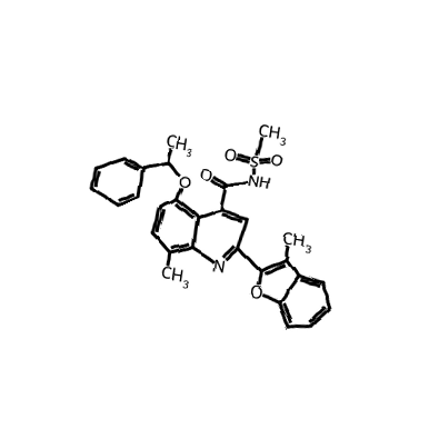 Cc1c(-c2cc(C(=O)NS(C)(=O)=O)c3c(O[C@H](C)c4ccccc4)ccc(C)c3n2)oc2ccccc12